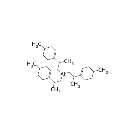 CC1CC=C(C(C)[CH2][Al]([CH2]C(C)C2=CCC(C)CC2)[CH2]C(C)C2=CCC(C)CC2)CC1